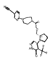 N#Cc1ccc(N2CCN(C(=O)COC[C@@H]3CCCN3c3cn[nH]c(=O)c3C(F)(F)F)CC2)nc1